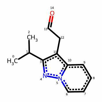 CC(C)c1nn2ccccc2c1CC=O